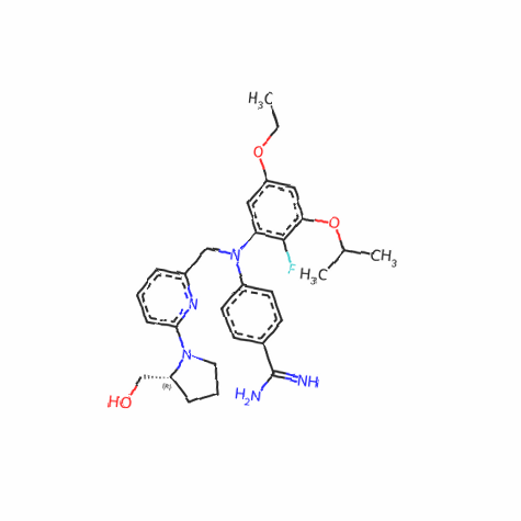 CCOc1cc(OC(C)C)c(F)c(N(Cc2cccc(N3CCC[C@@H]3CO)n2)c2ccc(C(=N)N)cc2)c1